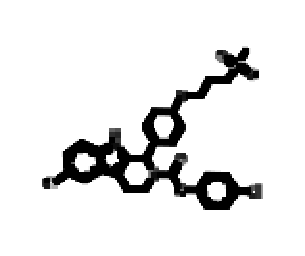 CS(=O)(=O)CCCOC1C=CC(C2c3[nH]c4ccc(Cl)cc4c3CCN2C(=O)Oc2ccc(Cl)cc2)=CC1